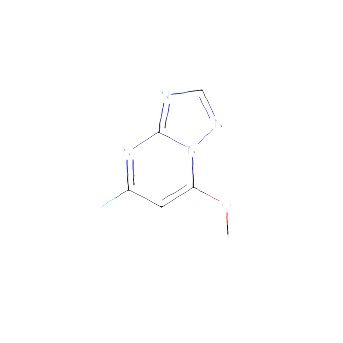 COc1cc(F)nc2n[c]nn12